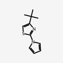 CC(C)(C)c1csc(-n2cccc2)n1